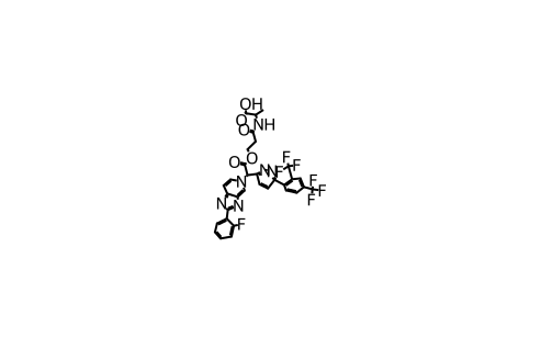 CC(NC(=O)CCOC(=O)C(c1ccc(-c2ccc(C(F)(F)F)cc2C(F)(F)F)nn1)n1ccc2nc(-c3ccccc3F)nc-2c1)C(=O)O